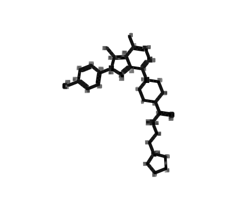 Cc1nnc(N2CCC(C(=O)NCCN3CCCC3)CC2)c2nn(-c3ccc(Cl)cc3)c(C)c12